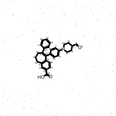 O=CC1CCN(c2ccc(C3=C(c4ccccc4)CCCc4cc(C(=O)O)ccc43)cc2)CC1